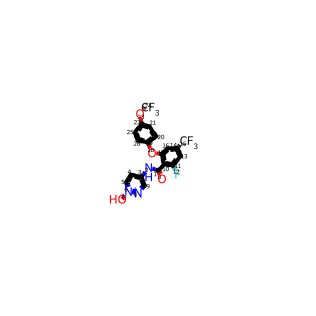 O=C(Nc1cc[n+](O)nc1)c1c(F)cc(C(F)(F)F)cc1Oc1ccc(OC(F)(F)F)cc1